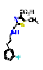 CCOC(=O)c1nc(CNCCCc2cccc(F)c2)sc1C